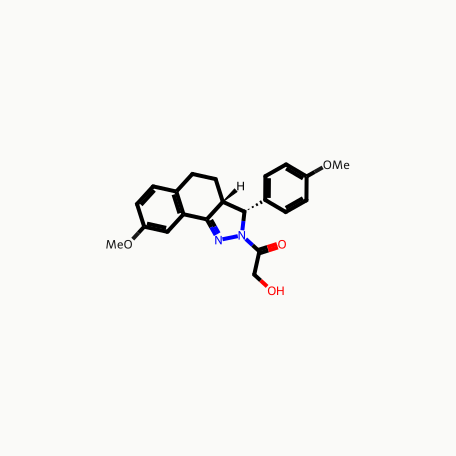 COc1ccc([C@H]2[C@H]3CCc4ccc(OC)cc4C3=NN2C(=O)CO)cc1